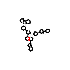 c1ccc(-c2cc(-c3cccc(-n4c5ccccc5c5ccccc54)c3)ccc2N(c2ccc(-c3ccc4ccccc4c3)cc2)c2ccc(-c3ccc4c(c3)sc3ccccc34)cc2)cc1